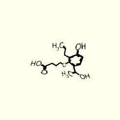 CCCc1c(O)ccc(C(C)O)c1OCCCC(=O)O